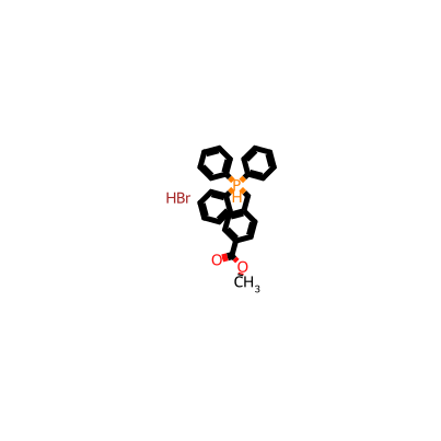 Br.COC(=O)c1ccc(C[PH](c2ccccc2)(c2ccccc2)c2ccccc2)cc1